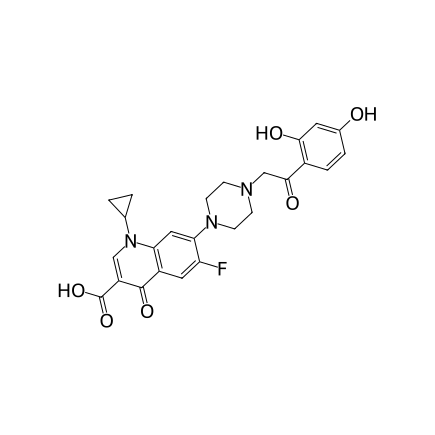 O=C(CN1CCN(c2cc3c(cc2F)c(=O)c(C(=O)O)cn3C2CC2)CC1)c1ccc(O)cc1O